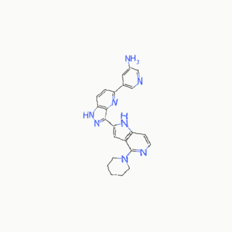 Nc1cncc(-c2ccc3[nH]nc(-c4cc5c(N6CCCCC6)nccc5[nH]4)c3n2)c1